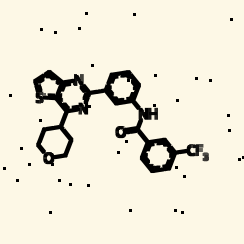 O=C(Nc1cccc(-c2nc(C3CCOCC3)c3sccc3n2)c1)c1cccc(C(F)(F)F)c1